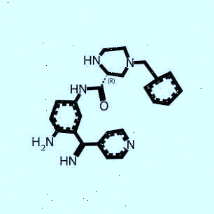 N=C(c1ccncc1)c1cc(NC(=O)[C@H]2CN(Cc3ccccc3)CCN2)ccc1N